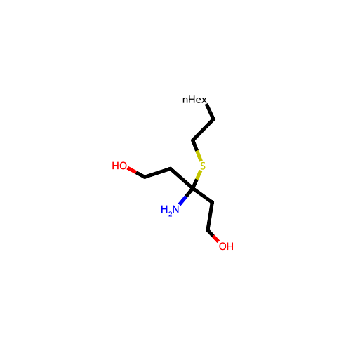 CCCCCCCCSC(N)(CCO)CCO